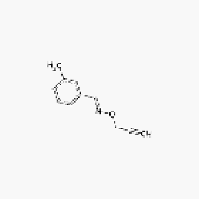 C#CCON=Cc1cc[c]c(C)c1